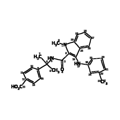 Cn1c(C(=O)NC(C)(C)c2ccc(C(=O)O)cc2)c(Nc2cccc(C(F)(F)F)c2)c2ccccc21